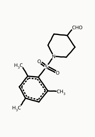 Cc1cc(C)c(S(=O)(=O)N2CCC(C=O)CC2)c(C)c1